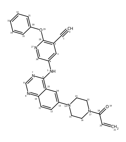 C#Cc1cc(Nc2ncnc3ccc(N4CCN(C(=O)C=C)CC4)cc23)cnc1Oc1ccccc1